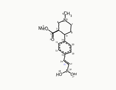 COC(=O)C1CN(C)CCC1c1ccc(/C=C/B(O)O)cc1